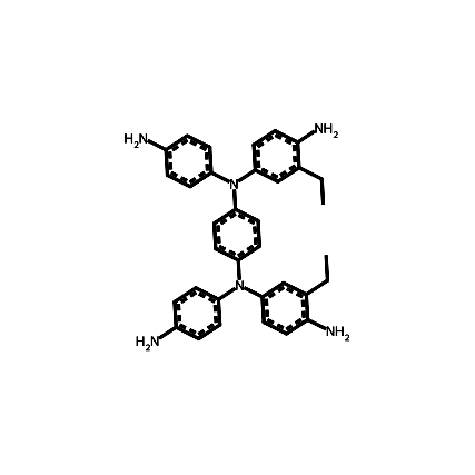 CCc1cc(N(c2ccc(N)cc2)c2ccc(N(c3ccc(N)cc3)c3ccc(N)c(CC)c3)cc2)ccc1N